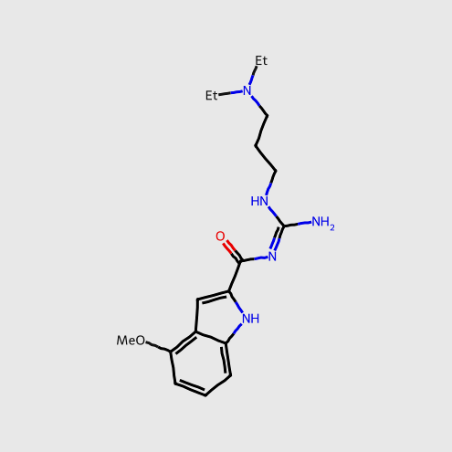 CCN(CC)CCCNC(N)=NC(=O)c1cc2c(OC)cccc2[nH]1